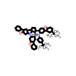 CC(C)(C)c1ccc(Nc2cc3c(cc2-c2ccc4c5cc6c(cc5n5c4c2Bc2cc4c(cc2-5)oc2ccccc24)oc2ccccc26)oc2ccc(C(C)(C)C)cc23)cc1